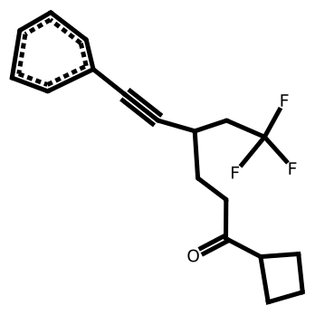 O=C(CCC(C#Cc1ccccc1)CC(F)(F)F)C1CCC1